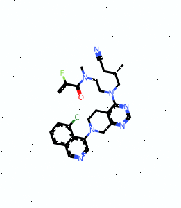 C=C(F)C(=O)N(C)CCN(C[C@H](C)CC#N)c1ncnc2c1CCN(c1cncc3cccc(Cl)c13)C2